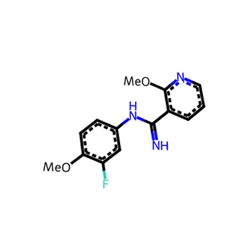 COc1ccc(NC(=N)c2cccnc2OC)cc1F